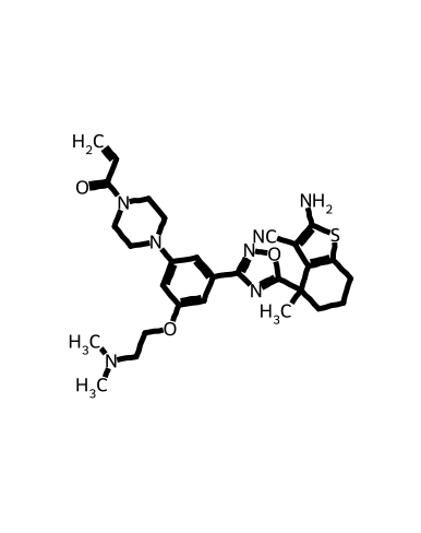 C=CC(=O)N1CCN(c2cc(OCCN(C)C)cc(-c3noc(C4(C)CCCc5sc(N)c(C#N)c54)n3)c2)CC1